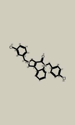 O=c1c2c(c3ccccc3n1Cc1ccc(Cl)cc1)CN(Cc1cccc(Cl)c1)C2